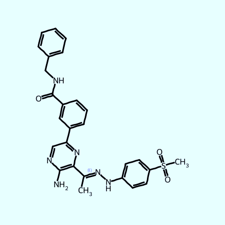 C/C(=N\Nc1ccc(S(C)(=O)=O)cc1)c1nc(-c2cccc(C(=O)NCc3ccccc3)c2)cnc1N